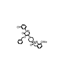 COc1cccc(CS(=O)(=O)N2CCN(c3cnn(-c4cccc(Cl)c4)c(=O)c3OCc3ccccc3)CC2)c1N